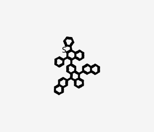 c1ccc(-c2c(-c3ccc4c(-c5ccc6ccccc6c5)c5ccccc5c(-c5ccc6ccccc6c5)c4c3)c3ccccc3c3c2sc2ccccc23)cc1